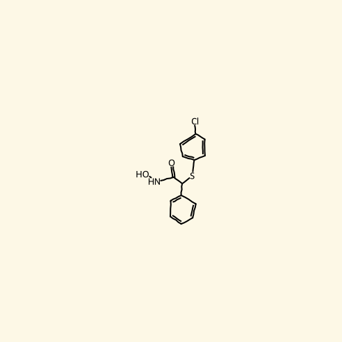 O=C(NO)C(Sc1ccc(Cl)cc1)c1ccccc1